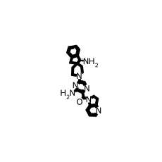 Nc1nc(N2CCC3(CC2)Cc2ccccc2[C@H]3N)cnc1C(=O)N1CCc2ncccc21